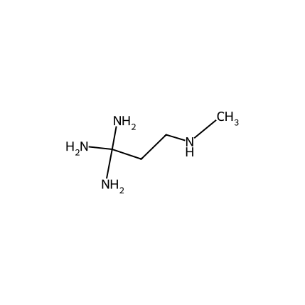 CNCCC(N)(N)N